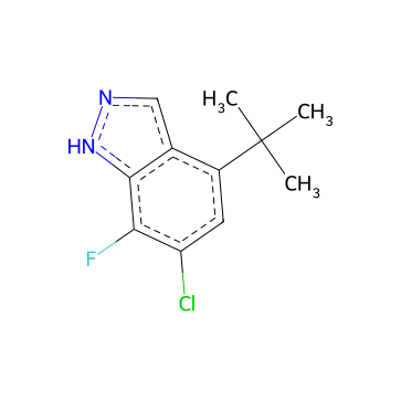 CC(C)(C)c1cc(Cl)c(F)c2[nH]ncc12